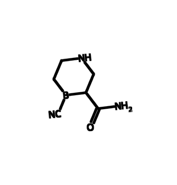 N#CB1CCNCC1C(N)=O